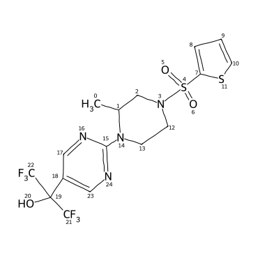 CC1CN(S(=O)(=O)c2cccs2)CCN1c1ncc(C(O)(C(F)(F)F)C(F)(F)F)cn1